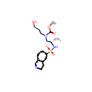 C[C@@H](CN(CCCO)C(=O)OC(C)(C)C)NS(=O)(=O)c1ccc2cnccc2c1